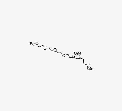 CC(C)(C)OCCOCCOCCOCCn1cc(CCOC(C)(C)C)nn1